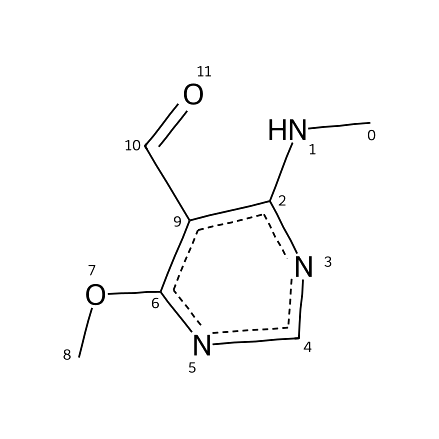 CNc1ncnc(OC)c1C=O